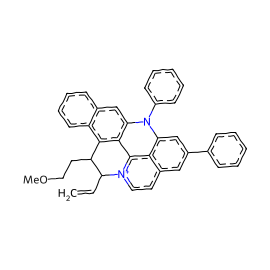 C=CC1C(CCOC)c2c3c(cc4ccccc24)N(c2ccccc2)c2cc(-c4ccccc4)cc4cc[n+]1c-3c24